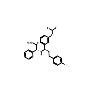 CNC(=O)[C@H](N[C@H](CCc1ccc(C(F)(F)F)cc1)c1cccc(OC(F)F)c1)c1ccccc1